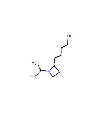 CCCCCC1CCN1C(C)C